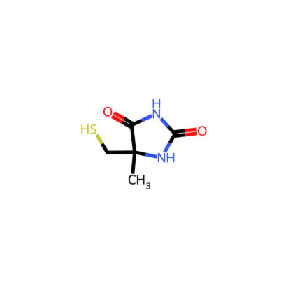 CC1(CS)NC(=O)NC1=O